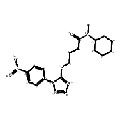 CN(C(=O)CCCSc1nnnn1-c1ccc([N+](=O)[O-])cc1)C1CCCCC1